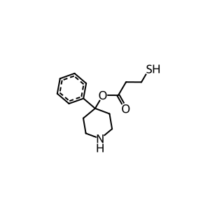 O=C(CCS)OC1(c2ccccc2)CCNCC1